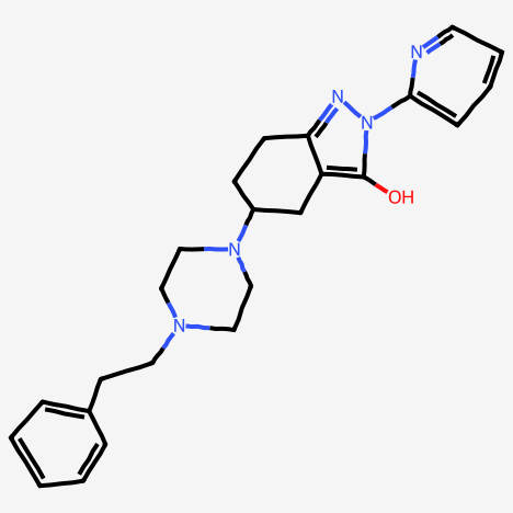 Oc1c2c(nn1-c1ccccn1)CCC(N1CCN(CCc3ccccc3)CC1)C2